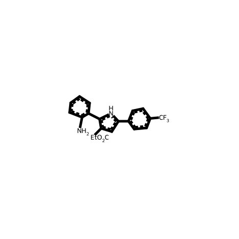 CCOC(=O)c1cc(-c2ccc(C(F)(F)F)cc2)[nH]c1-c1ccccc1N